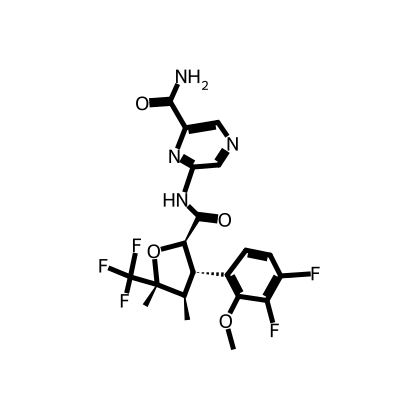 COc1c([C@@H]2[C@@H](C)[C@](C)(C(F)(F)F)O[C@H]2C(=O)Nc2cncc(C(N)=O)n2)ccc(F)c1F